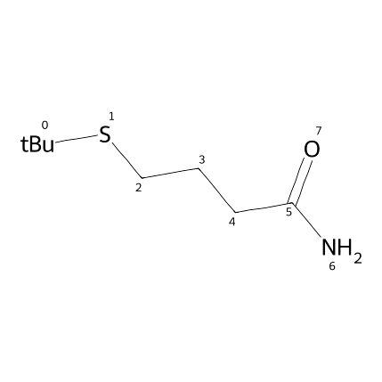 CC(C)(C)SCCCC(N)=O